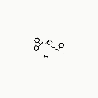 CN(CCC[N+]12CCC(CC1)[C@@H](NC(=O)C1(O)c3ccccc3-c3ccccc31)C2)c1ccccc1.O=C([O-])C(F)(F)F